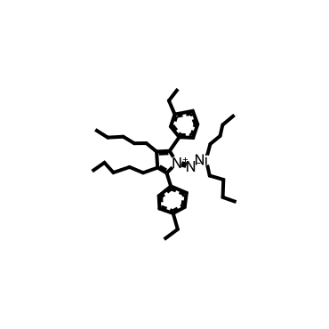 CCCCCC1=C(c2ccc(CC)cc2)[N+](=[N-])C(c2cccc(CC)c2)=C1CCCCC.CCC[CH2][Ni][CH2]CCC